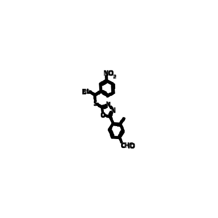 CCC(Sc1nnc(-c2ccc(C=O)cc2C)o1)c1cccc([N+](=O)[O-])c1